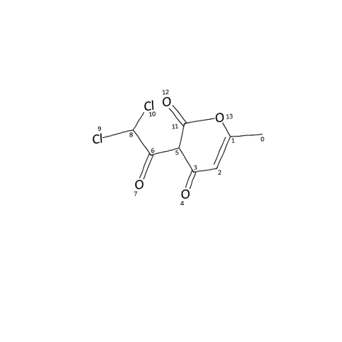 CC1=CC(=O)C(C(=O)C(Cl)Cl)C(=O)O1